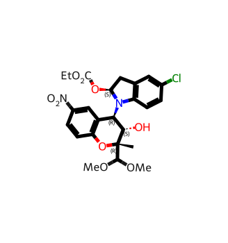 CCOC(=O)O[C@H]1Cc2cc(Cl)ccc2N1[C@@H]1c2cc([N+](=O)[O-])ccc2O[C@@](C)(C(OC)OC)[C@H]1O